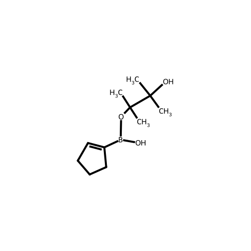 CC(C)(O)C(C)(C)OB(O)C1=CCCC1